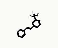 FC(F)(F)c1[c]ccc(C=Cc2ccccc2)c1